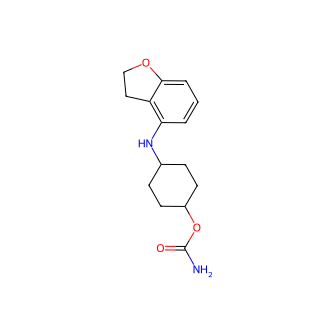 NC(=O)OC1CCC(Nc2cccc3c2CCO3)CC1